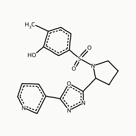 Cc1ccc(S(=O)(=O)N2CCCC2c2nnc(-c3cccnc3)o2)cc1O